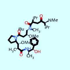 CC[C@H](C)[C@@H]([C@@H](CC(=O)N1CCCC1[C@H](OC)[C@@H](C)C(=O)N[C@H](C)[C@@H](O)c1ccccc1)OC)N(C)C(=O)C(CC(=O)[C@@H](NC)C(C)C)C(C)C